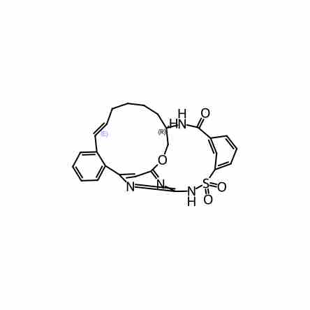 O=C1N[C@@H]2CCCC/C=C/c3ccccc3-c3cc(nc(n3)NS(=O)(=O)c3cccc1c3)OC2